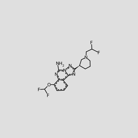 Nc1nc2c(OC(F)F)cccc2c2nc([C@@H]3CCCN(CC(F)F)C3)nn12